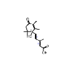 CC1=C(C)[C@](O)(/C=C/C(C)=C/C(=O)O)C(C)(C)CC1=O